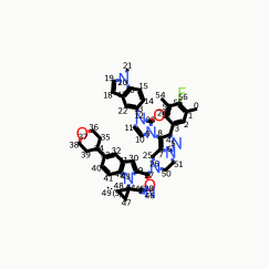 Cc1cc(-c2nn3c(c2-n2ccn(-c4ccc5c(ccn5C)c4)c2=O)CN(C(=O)c2cc4cc(C5CCOCC5)ccc4n2C2(C#N)C[C@@H]2C)CC3)cc(C)c1F